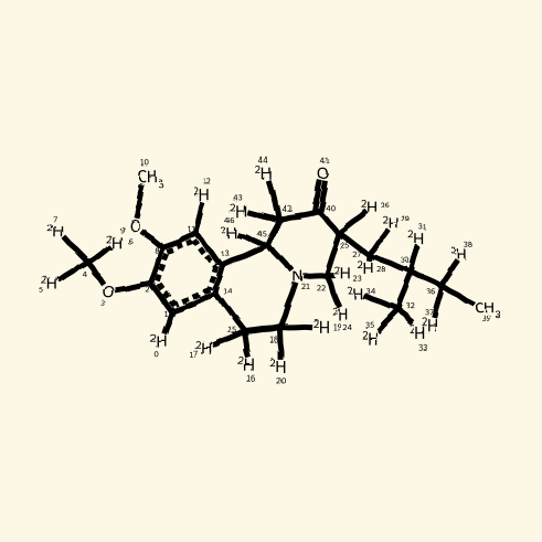 [2H]c1c(OC([2H])([2H])[2H])c(OC)c([2H])c2c1C([2H])([2H])C([2H])([2H])N1C([2H])([2H])C([2H])(C([2H])([2H])C([2H])(C([2H])([2H])[2H])C([2H])([2H])C)C(=O)C([2H])([2H])C21[2H]